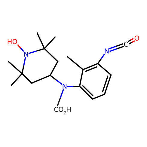 Cc1c(N=C=O)cccc1N(C(=O)O)C1CC(C)(C)N(O)C(C)(C)C1